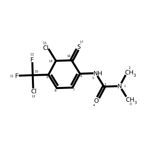 CN(C)C(=O)NC1=CC=C(C(F)(F)Cl)C(Cl)C1=S